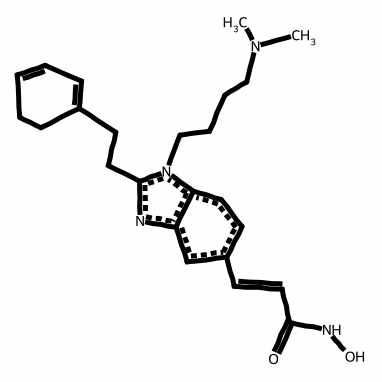 CN(C)CCCCn1c(CCC2=CC=CCC2)nc2cc(/C=C/C(=O)NO)ccc21